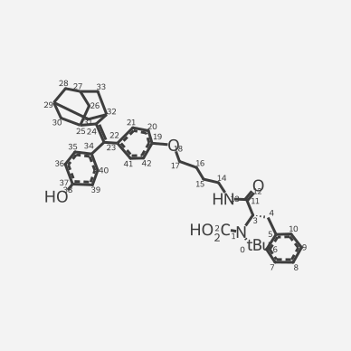 CC(C)(C)N(C(=O)O)[C@@H](Cc1ccccc1)C(=O)NCCCCOc1ccc(C(=C2C3CC4CC(C3)CC2C4)c2ccc(O)cc2)cc1